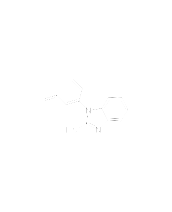 C=C/C=C(\C=C)n1c(S)nc2ccccc21